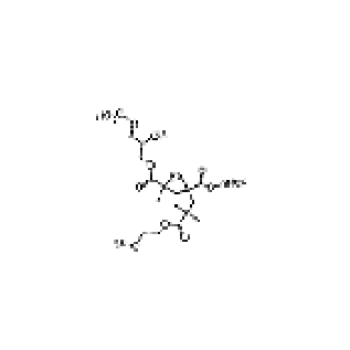 CCCCCCOC(=O)C(C)(CC(C)(C)C(=O)OCCOCC)CC(C)(CC)C(=O)OCC(O)COC(=O)O